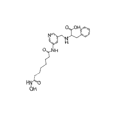 O=C(CCCCCCC(=O)Nc1cncc(CNC(Cc2ccccc2)C(=O)O)c1)NO